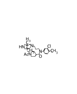 CC(=O)N1CCC(C(=O)N(CCCN2C[C@]3(C)CNC[C@]3(C)C2)c2ccc(C)c(Cl)c2)CC1